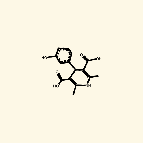 CC1=C(C(=O)O)C(c2cccc(O)c2)C(C(=O)O)=C(C)N1